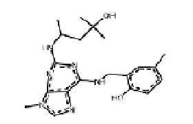 Cc1ccc(O)c(CNc2nc(NC(C)CC(C)(C)O)nc3c2ncn3C)c1